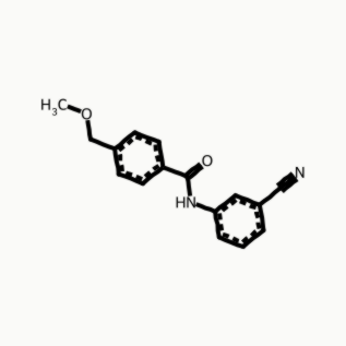 COCc1ccc(C(=O)Nc2cccc(C#N)c2)cc1